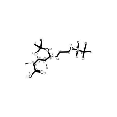 C[C@@H]1[C@H]([C@@H](C)C(=O)O)OC(C)(C)O[C@@H]1CCCO[Si](C)(C)C(C)(C)C